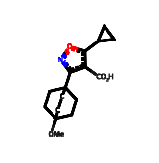 COC12CCC(c3noc(C4CC4)c3C(=O)O)(CC1)CC2